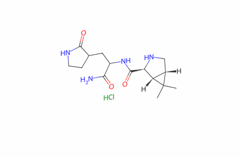 CC1(C)[C@@H]2[C@@H](C(=O)NC(CC3CCNC3=O)C(N)=O)NC[C@@H]21.Cl